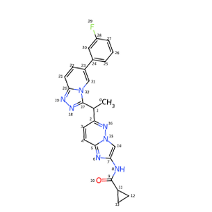 CC(c1ccc2nc(NC(=O)C3CC3)cn2n1)c1nnc2ccc(-c3cccc(F)c3)cn12